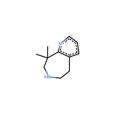 CC1(C)CNCCc2cccnc21